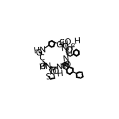 O=C1CCC(=O)N[C@@H](CC2CC=CS2)C(=O)N[C@@H](Cc2ccc(-c3ccccc3)cc2)C(=O)N[C@@H](Cc2ccccc2)C(=O)N[C@H](C(=O)O)Cc2ccc(cc2)N1